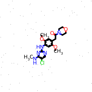 CNc1nc(Nc2cc(OC)c(CC(=O)N3CCOCC3)cc2OC)ncc1Cl